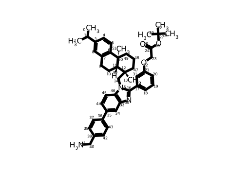 CC(C)c1ccc2c(c1)CC[C@H]1[C@@](C)(Cn3c(-c4cccc(OCC(=O)OC(C)(C)C)c4)nc4cc(-c5ccc(CN)cc5)ccc43)CCC[C@]21C